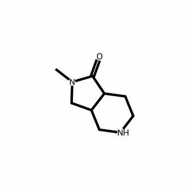 CN1CC2CNCCC2C1=O